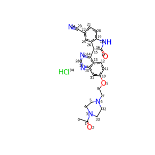 CC(=O)N1CCN(CCOc2ccc3c(C4C(=O)Nc5ccc(C#N)cc54)ncnc3c2)CC1.Cl